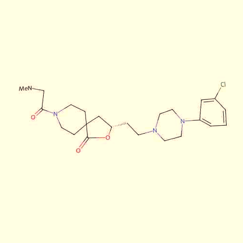 CNCC(=O)N1CCC2(CC1)C[C@H](CCN1CCN(c3cccc(Cl)c3)CC1)OC2=O